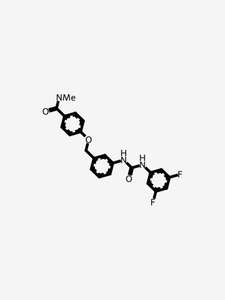 CNC(=O)c1ccc(OCc2cccc(NC(=O)Nc3cc(F)cc(F)c3)c2)cc1